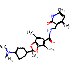 Cc1cc(C)c(CNC(=O)c2cc(C)c3c(c2C)OC(C)(C2CCC(N(C)C)CC2)O3)c(=O)[nH]1